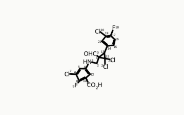 O=CC1(CNc2cc(Cl)c(F)c(C(=O)O)c2)C(c2ccc(F)c(Cl)c2)C1(Cl)Cl